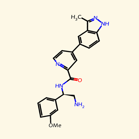 COc1cccc([C@H](CN)NC(=O)c2cc(-c3ccc4[nH]nc(C)c4c3)ccn2)c1